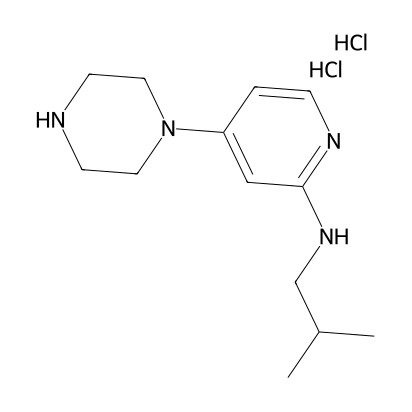 CC(C)CNc1cc(N2CCNCC2)ccn1.Cl.Cl